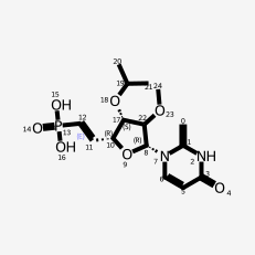 C=C1NC(=O)C=CN1[C@@H]1O[C@H](/C=C/P(=O)(O)O)[C@H](OC(C)C)C1OC